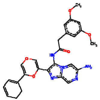 COc1cc(CC(=O)Nc2c(C3=COC=C(C4=CC=CCC4)O3)nc3cnc(N)cn23)cc(OC)c1